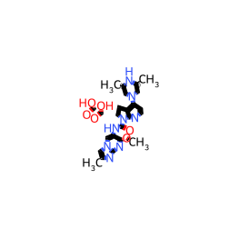 COc1nc2nc(C)cn2cc1NC(=O)N1CCc2c(N3C[C@@H](C)N[C@@H](C)C3)ccnc21.O=CO.O=CO